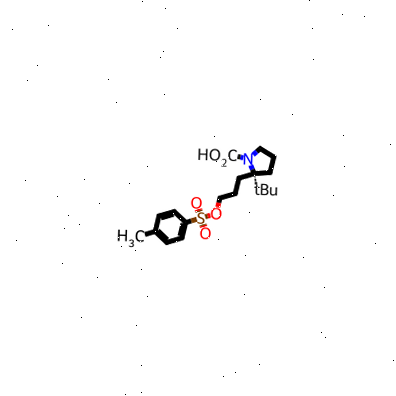 Cc1ccc(S(=O)(=O)OCCC[C@]2(C(C)(C)C)CCCN2C(=O)O)cc1